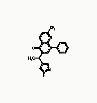 CC(c1cn[nH]c1)c1cn(-c2ccccc2)c2nc(C(F)(F)F)ccc2c1=O